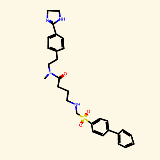 CN(CCc1ccc(C2=NCCN2)cc1)C(=O)CCCNCS(=O)(=O)c1ccc(-c2ccccc2)cc1